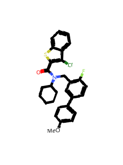 COc1ccc(-c2ccc(F)c(CN(C(=O)c3sc4ccccc4c3Cl)C3CCCCC3)c2)cc1